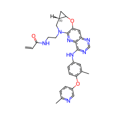 C=CC(=O)NCCN1C[C@@H]2CC2Oc2cc3ncnc(Nc4ccc(Oc5ccc(C)nc5)c(C)c4)c3nc21